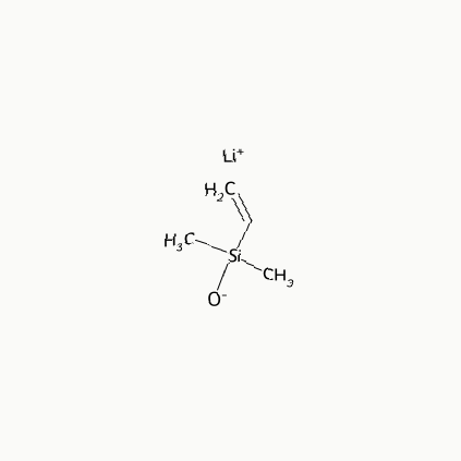 C=C[Si](C)(C)[O-].[Li+]